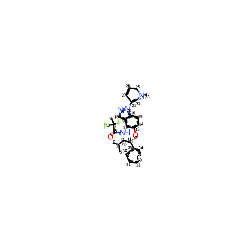 CC(C)[C@H](NC(=O)C(C)(F)F)[C@H](Oc1ccc2c(cnn2C2=CN(C)CC=C2)c1)c1ccccc1